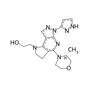 C[C@@H]1COCCN1c1nc2c(cnn2-c2cc[nH]n2)c2c1CCN2CCO